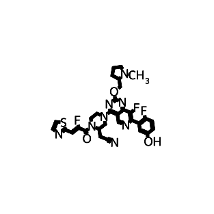 CN1CCCC1COc1nc(N2CCN(C(=O)/C(F)=C/c3nccs3)C(CC#N)C2)c2cnc(-c3cc(O)ccc3F)c(F)c2n1